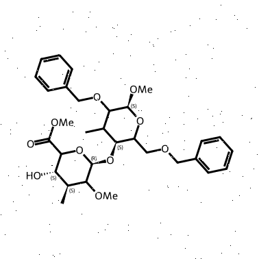 COC(=O)C1O[C@@H](O[C@@H]2C(COCc3ccccc3)O[C@H](OC)C(OCc3ccccc3)C2C)C(OC)[C@@H](C)[C@@H]1O